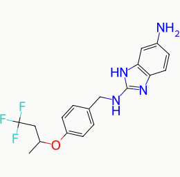 CC(CC(F)(F)F)Oc1ccc(CNc2nc3ccc(N)cc3[nH]2)cc1